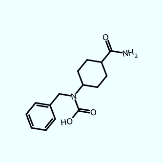 NC(=O)C1CCC(N(Cc2ccccc2)C(=O)O)CC1